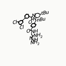 CCCC[C@H](c1ccc(C(=O)NC/C(N)=N/NN)cc1)N1C(=O)C(c2cccc(-c3cc(Cl)cc(Cl)c3)c2)=NC12CCC(C(C)(C)C)CC2